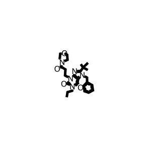 CCCn1c(=O)c2c(nc(C(C)(C)C)n2Cc2ccccc2)n(CCC(=O)N2CCOCC2)c1=O